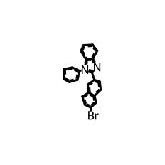 Brc1ccc2cc(-c3nc4ccccc4n3-c3ccccc3)ccc2c1